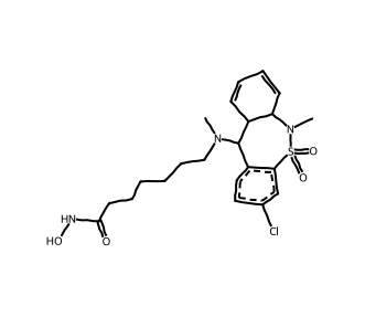 CN(CCCCCCC(=O)NO)C1c2ccc(Cl)cc2S(=O)(=O)N(C)C2C=CC=CC12